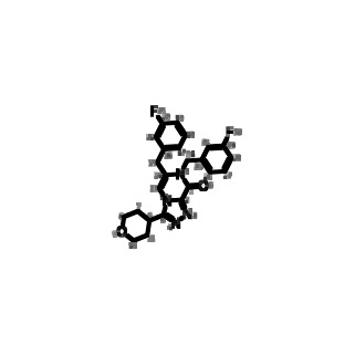 O=c1c2nnc(C3CCOCC3)n2cc(Cc2cccc(F)c2)n1Cc1cccc(F)c1